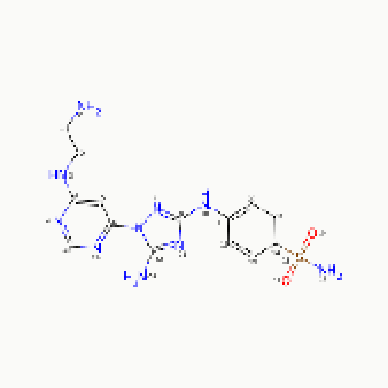 NCCNc1cc(-n2nc(Nc3ccc(S(N)(=O)=O)cc3)nc2N)ncn1